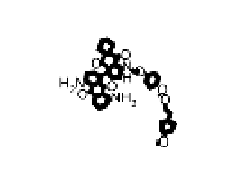 COc1ccc(C=COCOc2ccc(OCNc3ccc(-c4ccc(N)c5c4C(=O)c4c(N)cccc4C5=O)c4c3C(=O)c3ccccc3C4=O)cc2)cc1